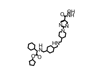 O=C(NO)c1cnc(N2CCC(CNCC3CCC(CN[C@H](C(=O)OC4CCCC4)C4CCCCC4)CC3)CC2)nc1